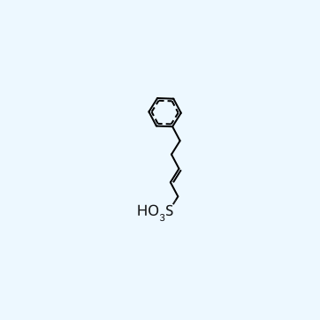 O=S(=O)(O)CC=CCCc1ccccc1